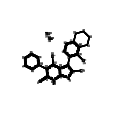 O=c1[nH]c2sc(Cl)c(-c3ccc4c(c3[O-])CCCC4)c2c([O-])c1-c1ccccc1.[Na+].[Na+]